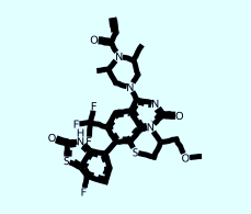 C=CC(=O)N1C(C)CN(c2nc(=O)n3c4c(c(-c5ccc(F)c6sc(=O)[nH]c56)c(C(F)(F)F)cc24)SCC3COC)CC1C